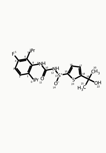 CC(C)c1ccc(F)c(C(C)C)c1NC(=O)N[S+]([O-])c1ccc(C(C)(C)O)s1